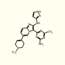 Cc1nc(N)nc(-c2c(Nc3cc[nH]n3)nc3ccc(C4=CCN(C)CC4)cn23)n1